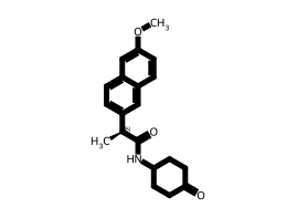 COc1ccc2cc([C@H](C)C(=O)NC3CCC(=O)CC3)ccc2c1